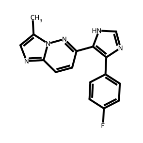 Cc1cnc2ccc(-c3[nH]cnc3-c3ccc(F)cc3)nn12